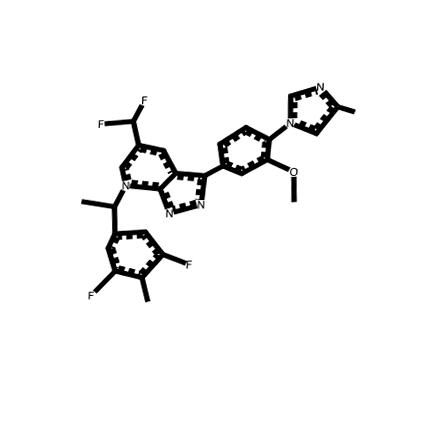 COc1cc(-c2nnc3n(C(C)c4cc(F)c(C)c(F)c4)cc(C(F)F)cc2-3)ccc1-n1cnc(C)c1